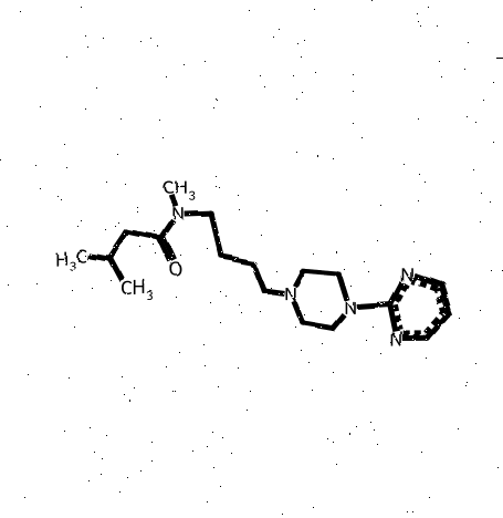 CC(C)CC(=O)N(C)CCCCN1CCN(c2ncccn2)CC1